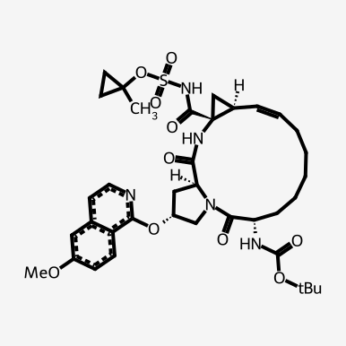 COc1ccc2c(O[C@@H]3C[C@H]4C(=O)N[C@]5(C(=O)NS(=O)(=O)OC6(C)CC6)C[C@H]5/C=C\CCCCC[C@H](NC(=O)OC(C)(C)C)C(=O)N4C3)nccc2c1